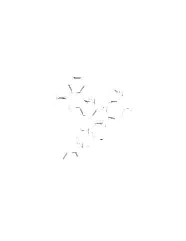 C=CC(=O)N1CCN(c2nc(=O)n(-c3scnc3C(C)C)c3nc(-c4ccccc4C=C(C)C)c(F)cc23)[C@@H](C)C1